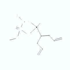 C=CCC(CC=C)C(F)(OP(=O)(OF)OF)C(F)(F)F